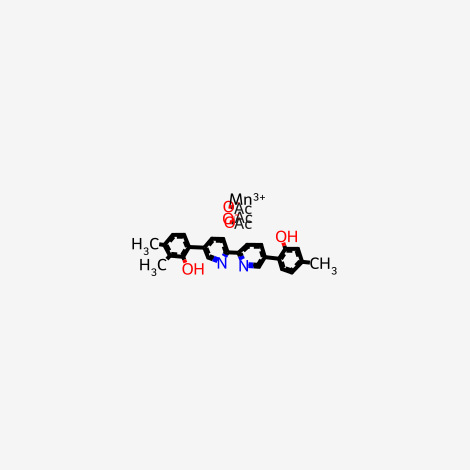 CC(=O)[O-].CC(=O)[O-].CC(=O)[O-].Cc1ccc(-c2ccc(-c3ccc(-c4ccc(C)c(C)c4O)cn3)nc2)c(O)c1.[Mn+3]